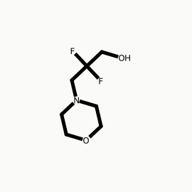 OCC(F)(F)CN1CCOCC1